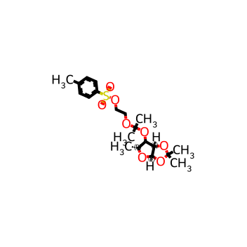 Cc1ccc(S(=O)(=O)OCCOC(C)(C)OC2[C@@H](C)O[C@@H]3OC(C)(C)O[C@@H]23)cc1